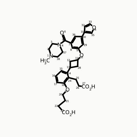 CN1CCN(C(=O)c2cc(OC3CC(c4cccc(OCCCC(=O)O)c4CCC(=O)O)C3)cc(-c3ccoc3)c2)CC1